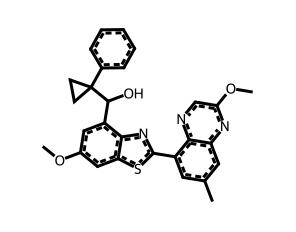 COc1cc(C(O)C2(c3ccccc3)CC2)c2nc(-c3cc(C)cc4nc(OC)cnc34)sc2c1